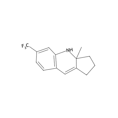 CC12CCCC1=Cc1ccc(C(F)(F)F)cc1N2